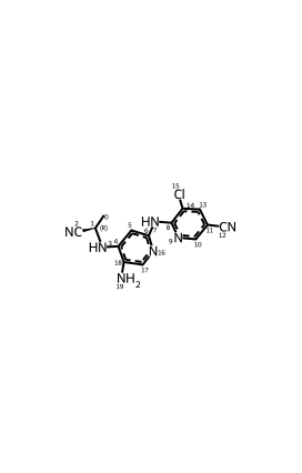 C[C@H](C#N)Nc1cc(Nc2ncc(C#N)cc2Cl)ncc1N